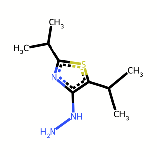 CC(C)c1nc(NN)c(C(C)C)s1